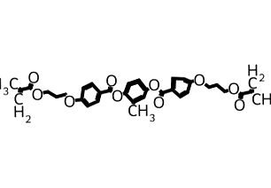 C=C(C)C(=O)OCCCOc1ccc(C(=O)OC2=C=C=C(OC(=O)c3ccc(OCCCOC(=O)C(=C)C)cc3)C(C)=C2)cc1